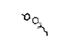 C=CCCC(=O)O[C@H]1CC[C@H](c2ccc(C)cc2)CC1